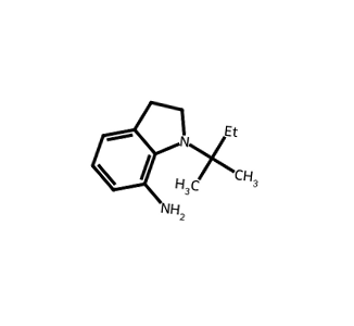 CCC(C)(C)N1CCc2cccc(N)c21